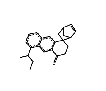 CCC(C)c1cccc2cc3c(cc12)C(=O)CCC31CC2C=CC1C2